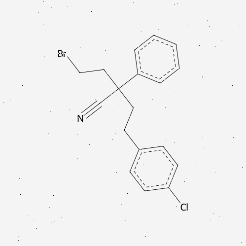 N#CC(CCBr)(CCc1ccc(Cl)cc1)c1ccccc1